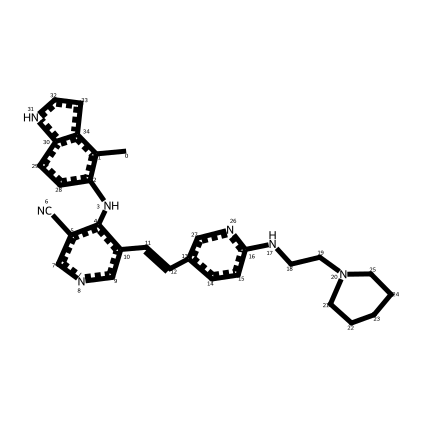 Cc1c(Nc2c(C#N)cncc2/C=C/c2ccc(NCCN3CCCCC3)nc2)ccc2[nH]ccc12